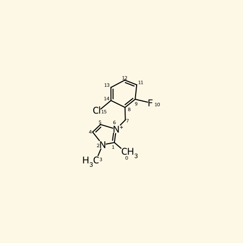 Cc1n(C)cc[n+]1Cc1c(F)cccc1Cl